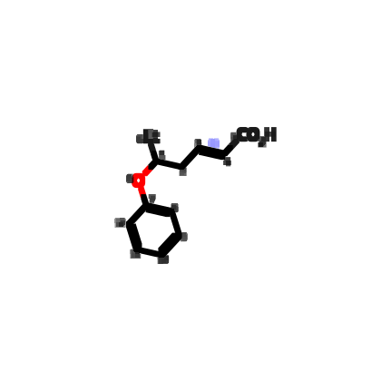 CCC(C/C=C/C(=O)O)Oc1ccccc1